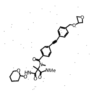 CNC(=O)C(C)(C(=O)NOC1CCCCO1)N(C)C(=O)c1ccc(C#Cc2ccc(COC3COC3)cc2)cc1